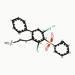 O=C(O)CCc1c(-c2ccccc2)cc(Cl)c(S(=O)(=O)c2ccccc2)c1F